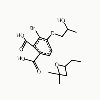 CC(O)COc1ccc(C(=O)O)c(C(=O)O)c1Br.CCC1CC(C)(C)O1